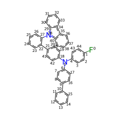 Fc1ccc(N(c2ccc(-c3ccccc3)cc2)c2ccc(-c3ccccc3-n3c4ccccc4c4ccccc43)cc2)cc1